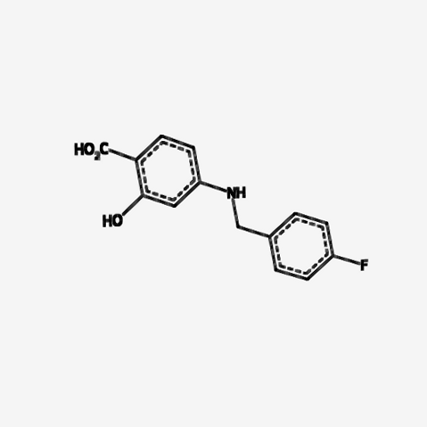 O=C(O)c1ccc(NCc2ccc(F)cc2)cc1O